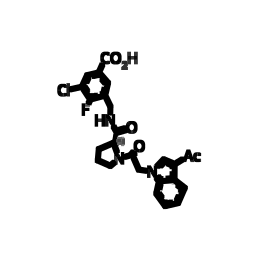 CC(=O)c1cn(CC(=O)N2CCC[C@H]2C(=O)NCc2cc(C(=O)O)cc(Cl)c2F)c2ccccc12